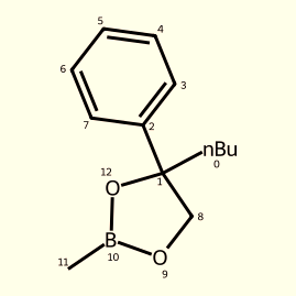 CCCCC1(c2ccccc2)COB(C)O1